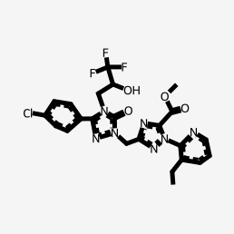 CCc1cccnc1-n1nc(Cn2nc(-c3ccc(Cl)cc3)n(CC(O)C(F)(F)F)c2=O)nc1C(=O)OC